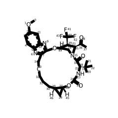 COc1ccc2nc3c(nc2c1)O[C@H]1CN(C(=O)[C@H](C(C)(C)C)NC(=O)O[C@@H]2C[C@H]2CCCCC3)[C@H](C(C)=O)[C@@H]1C(F)(F)F